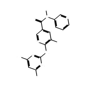 CCN(C(=O)c1cnc(Sc2nc(C)cc(C)n2)c(Cl)c1)c1cccnc1